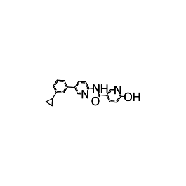 O=C(Nc1ccc(-c2cccc(C3CC3)c2)cn1)c1ccc(O)nc1